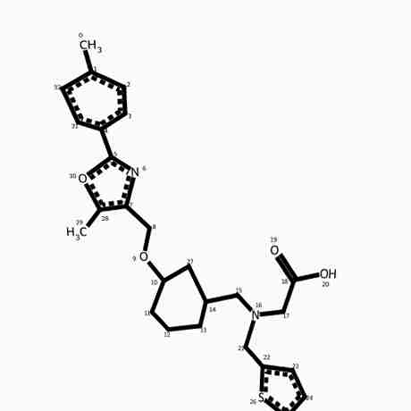 Cc1ccc(-c2nc(COC3CCCC(CN(CC(=O)O)Cc4cccs4)C3)c(C)o2)cc1